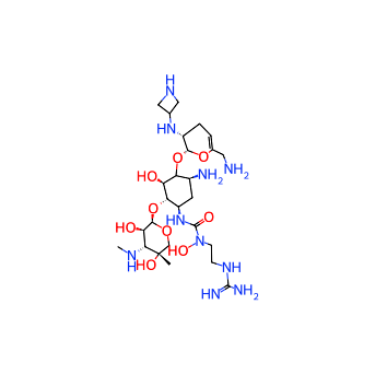 CN[C@@H]1[C@@H](O)[C@@H](O[C@H]2[C@H](NC(=O)N(O)CCNC(=N)N)C[C@H](N)C(O[C@H]3OC(CN)=CC[C@H]3NC3CNC3)[C@@H]2O)OC[C@]1(C)O